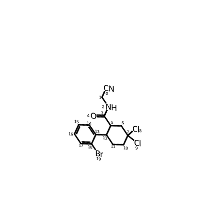 N#CCNC(=O)C1CC(Cl)(Cl)CCC1c1ccccc1Br